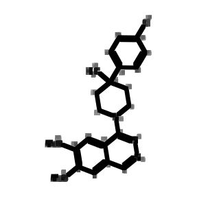 COc1cc2cnnc(N3CCC(C)(c4ccc(Cl)cc4)CC3)c2cc1OC